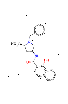 O=C(N[C@H]1C[C@@H](C(=O)O)N(Cc2ccccc2)C1)c1ccc2ccccc2c1O